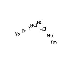 Cl.Cl.Cl.[Er].[Ho].[Tm].[Y].[Yb]